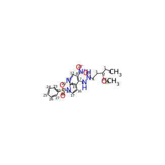 CCC(CCNNc1c([N+](=O)[O-])cnc2c1ccn2S(=O)(=O)c1ccccc1)OC